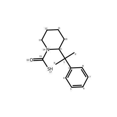 CC(C)(c1ccccc1)C1CCCCN1C(=O)S